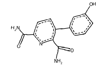 NC(=O)c1ccc(-c2cccc(O)c2)c(C(N)=O)n1